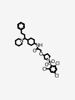 O=C(COC1CCN(S(=O)(=O)c2c(Cl)cc(Cl)cc2Cl)C1)NC1CCC(C(CCc2ccccc2)N2CCCCC2)CC1